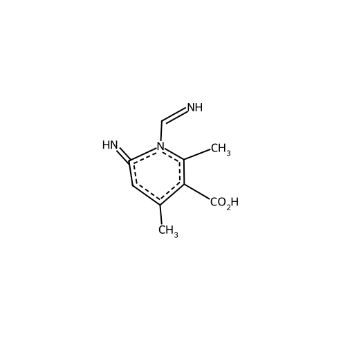 Cc1cc(=N)n(C=N)c(C)c1C(=O)O